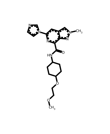 COCCOC1CCC(NC(=O)c2nc(-n3ccnc3)cc3cn(C)nc23)CC1